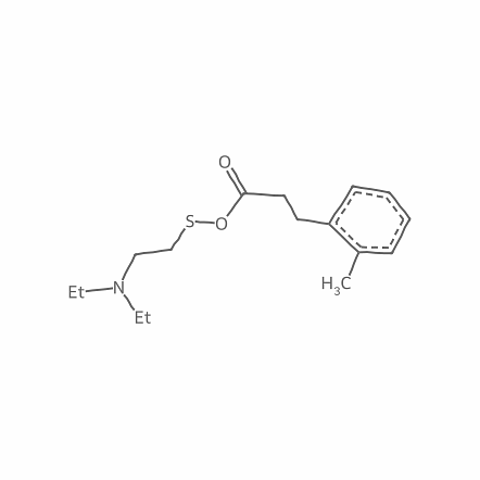 CCN(CC)CCSOC(=O)CCc1ccccc1C